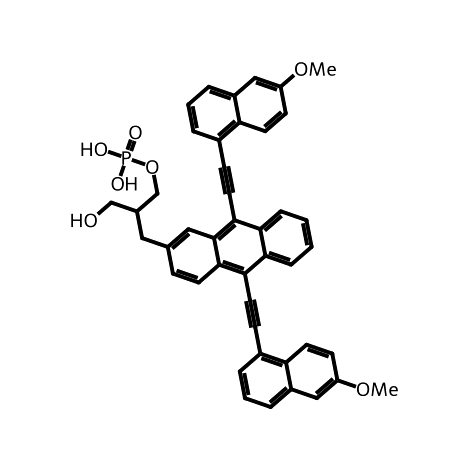 COc1ccc2c(C#Cc3c4ccccc4c(C#Cc4cccc5cc(OC)ccc45)c4cc(CC(CO)COP(=O)(O)O)ccc34)cccc2c1